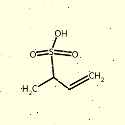 [CH2]C(C=C)S(=O)(=O)O